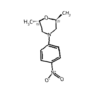 C[C@H]1CN(c2ccc([N+](=O)[O-])cc2)C[C@H](C)O1